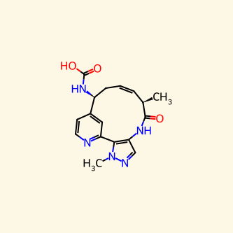 C[C@@H]1C=CC[C@H](NC(=O)O)c2ccnc(c2)-c2c(cnn2C)NC1=O